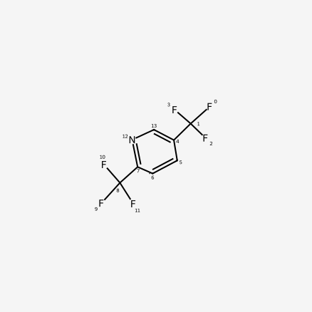 FC(F)(F)c1c[c]c(C(F)(F)F)nc1